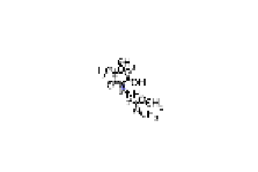 COC(CN/C=C(\C(=O)O)C(=O)C(C)OC)OC